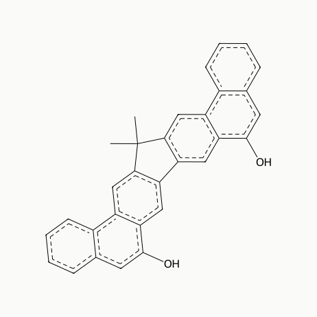 CC1(C)c2cc3c(cc2-c2cc4c(O)cc5ccccc5c4cc21)c(O)cc1ccccc13